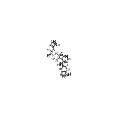 CN(Cc1ccnn1C)C(=O)C1CCc2c(sc3ncnc(Nc4ccc5[nH]ncc5c4)c23)C1